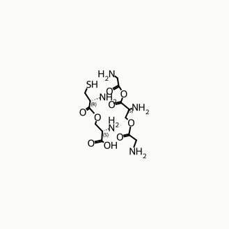 NCC(=O)OC[C@H](N)C(=O)OC(=O)CN.N[C@@H](COC(=O)[C@@H](N)CS)C(=O)O